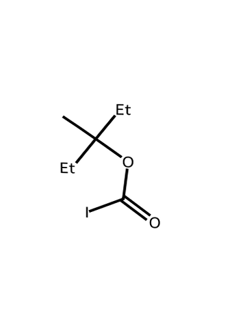 CCC(C)(CC)OC(=O)I